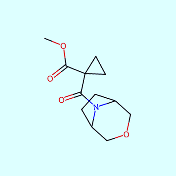 COC(=O)C1(C(=O)N2C3CCC2COC3)CC1